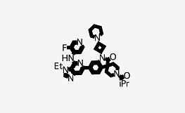 CCn1cnc2cc(-c3ccc4c(c3)N([C@H]3C[C@@H](N5CCCCC5)C3)C(=O)C43CCN(C(=O)C(C)C)CC3)nc(Nc3ccncc3F)c21